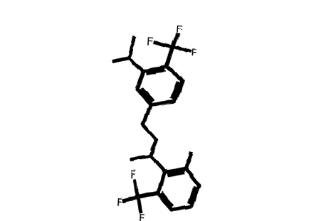 Cc1cccc(C(F)(F)F)c1C(C)CCc1ccc(C(F)(F)F)c(C(C)C)c1